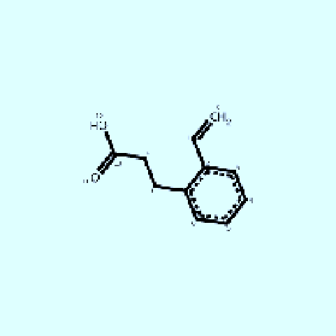 C=Cc1ccccc1CCC(=O)O